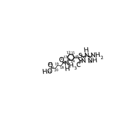 Cc1nc(NC(=N)N)sc1-c1cccc(NC(=O)CCCC(=O)O)c1